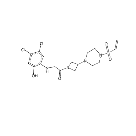 C=CS(=O)(=O)N1CCN(C2CN(C(=O)CNc3cc(Cl)c(Cl)cc3O)C2)CC1